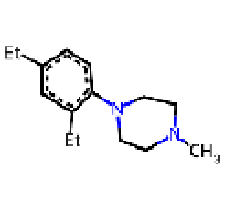 CCc1ccc(N2CCN(C)CC2)c(CC)c1